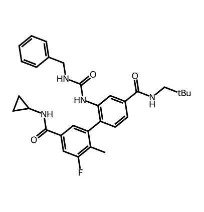 Cc1c(F)cc(C(=O)NC2CC2)cc1-c1ccc(C(=O)NCC(C)(C)C)cc1NC(=O)NCc1ccccc1